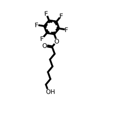 O=C(CCCCCCO)Oc1c(F)c(F)c(F)c(F)c1F